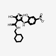 N=C(NCC1CCCCC1)c1c(O)nsc1Nc1ccc([N+](=O)[O-])cc1O